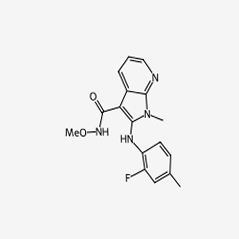 CONC(=O)c1c(Nc2ccc(C)cc2F)n(C)c2ncccc12